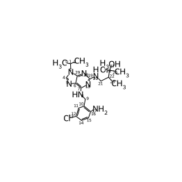 CC(C)n1cnc2c(NCc3cc(Cl)ccc3N)nc(NCC(C)C(C)(C)O)nc21